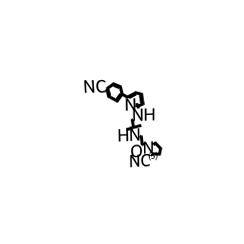 CC(C)(CNc1cccc(-c2ccc(C#N)cc2)n1)NCC(=O)N1CCC[C@H]1C#N